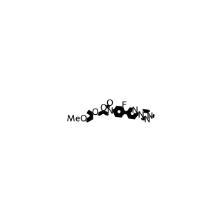 C=C(/C=C\OC)OCC1CN(c2ccc(-c3ccc(N4C=NN(C)CC4)nc3)c(F)c2)C(=O)O1